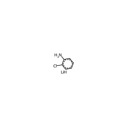 Nc1ccccc1Cl.[LiH]